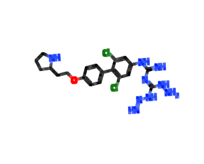 N=NN/C(=N/C(=N)Nc1cc(Cl)c(-c2ccc(OCCC3CCCN3)cc2)c(Cl)c1)NN